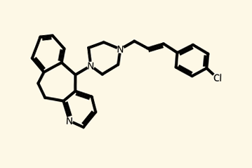 Clc1ccc(C=CCN2CCN(C3c4ccccc4CCc4ncccc43)CC2)cc1